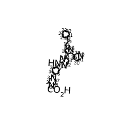 O=C(O)N1CCN(c2ccc(Nc3nccc(-c4cn(CCc5ccccc5)nc4-c4cccnc4)n3)cc2)CC1